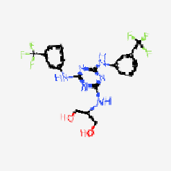 OCC(CO)Nc1nc(Nc2cccc(C(F)(F)F)c2)nc(Nc2cccc(C(F)(F)F)c2)n1